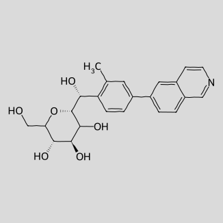 Cc1cc(-c2ccc3cnccc3c2)ccc1[C@@H](O)[C@H]1OC(CO)[C@@H](O)[C@H](O)C1O